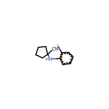 N#CC1(Nc2ccccc2I)CCCC1